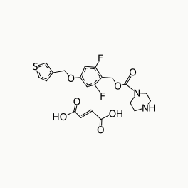 O=C(O)C=CC(=O)O.O=C(OCc1c(F)cc(OCc2ccsc2)cc1F)N1CCNCC1